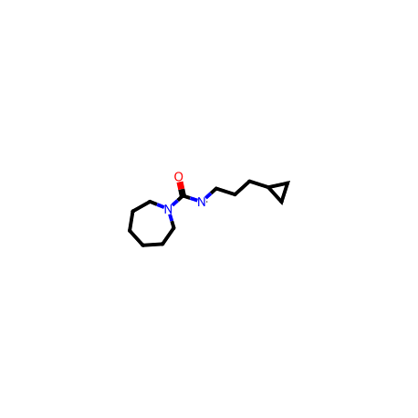 O=C([N]CCCC1CC1)N1CCCCCC1